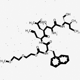 C=CC[C@H](NC(=O)[C@H](Cc1cccc2ccccc12)NC(=O)OCCOCCOC)C(=O)[C@@H](CC(C)C)[C@H](O)C(N)C(=O)N[C@H](CO)[C@@H](C)CC